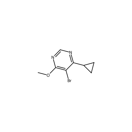 COc1ncnc(C2CC2)c1Br